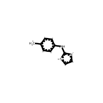 Cc1ccc(Nc2nccs2)cc1